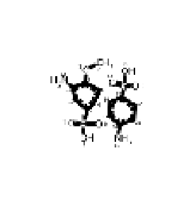 COc1ccc(S(=O)(=O)O)cc1N.Nc1ccc(S(=O)(=O)O)cc1